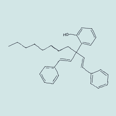 CCCCCCCCC(C=Cc1ccccc1)(C=Cc1ccccc1)c1ccccc1O